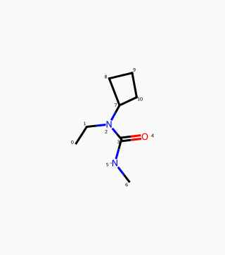 CCN(C(=O)[N]C)C1CCC1